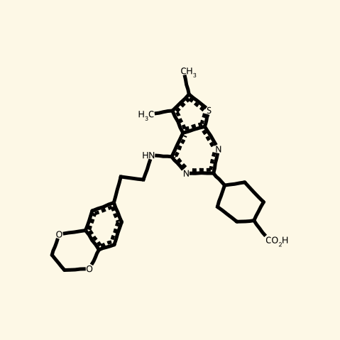 Cc1sc2nc(C3CCC(C(=O)O)CC3)nc(NCCc3ccc4c(c3)OCCO4)c2c1C